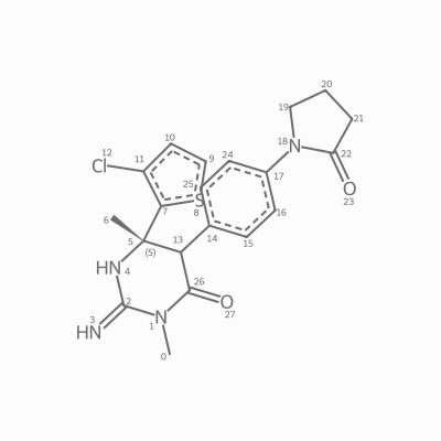 CN1C(=N)N[C@](C)(c2sccc2Cl)C(c2ccc(N3CCCC3=O)cc2)C1=O